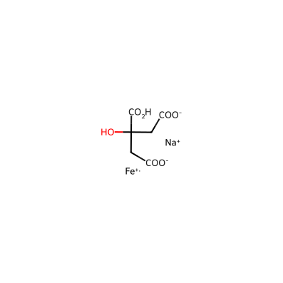 O=C([O-])CC(O)(CC(=O)[O-])C(=O)O.[Fe+].[Na+]